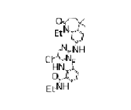 CCNC(=O)c1cccc(F)c1Nc1nc(Nc2ccc3c(c2)N(CC)C(=O)CCC3(C)C)ncc1Cl